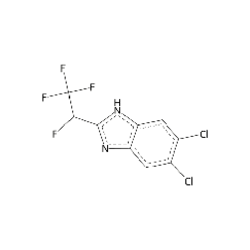 FC(c1nc2cc(Cl)c(Cl)cc2[nH]1)C(F)(F)F